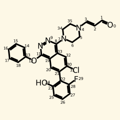 O=CC=CN1CCN(c2nnc(Oc3ccccc3)c3cc(-c4c(O)cccc4F)c(Cl)cc23)CC1